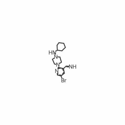 N=Cc1cc(Br)cnc1N1CCN(NC2CCCCC2)CC1